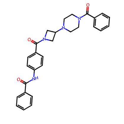 O=C(Nc1ccc(C(=O)N2CC(N3CCN(C(=O)c4ccccc4)CC3)C2)cc1)c1ccccc1